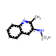 Cc1nc2ccccc2cc1NC(=O)O